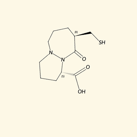 O=C(O)[C@@H]1CCCN2CCC[C@@H](CS)C(=O)N12